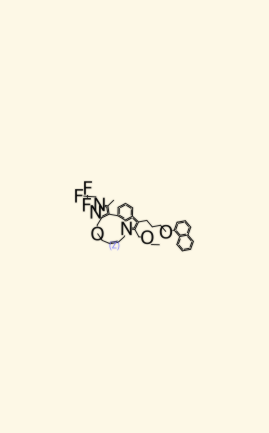 CCOCc1c(CCCOc2cccc3ccccc23)c2cccc3c2n1C/C=C\COCc1nn(CC(F)(F)F)c(C)c1-3